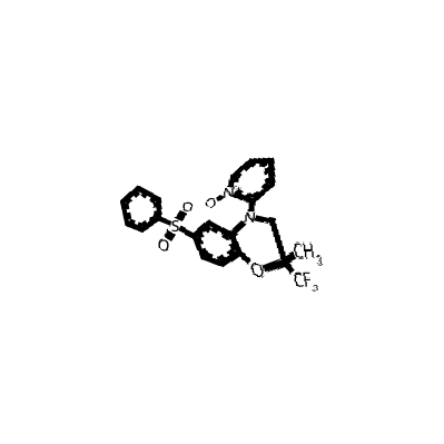 CC1(C(F)(F)F)CN(c2cccc[n+]2[O-])c2cc(S(=O)(=O)c3ccccc3)ccc2O1